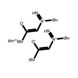 CC(C)(C)C([O-])=C[N+](=N)C(C)(C)C.CC(C)(C)C([O-])=C[N+](=N)C(C)(C)C.[Mn+2]